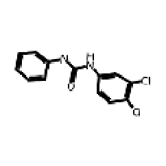 O=C([N]c1ccccc1)Nc1ccc(Cl)c(Cl)c1